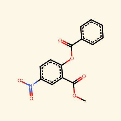 COC(=O)c1cc([N+](=O)[O-])ccc1OC(=O)c1ccccc1